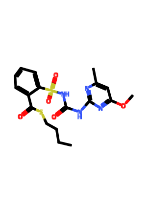 CCCCSC(=O)c1ccccc1S(=O)(=O)NC(=O)Nc1nc(C)cc(OC)n1